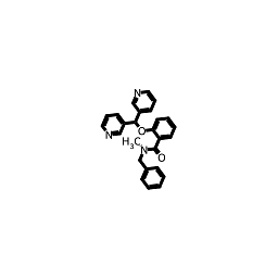 CN(Cc1ccccc1)C(=O)c1ccccc1OC(c1cccnc1)c1cccnc1